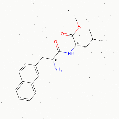 COC(=O)[C@H](CC(C)C)NC(=O)[C@H](N)Cc1ccc2ccccc2c1